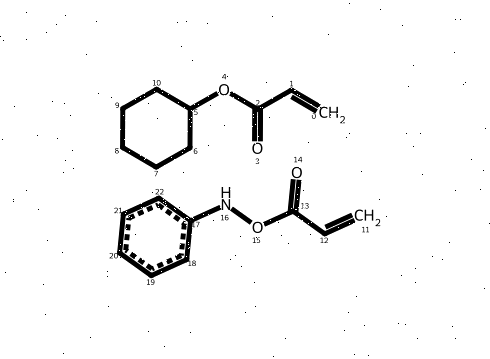 C=CC(=O)OC1CCCCC1.C=CC(=O)ONc1ccccc1